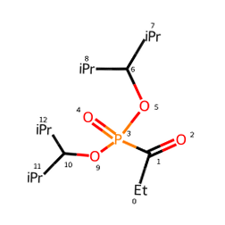 CCC(=O)P(=O)(OC(C(C)C)C(C)C)OC(C(C)C)C(C)C